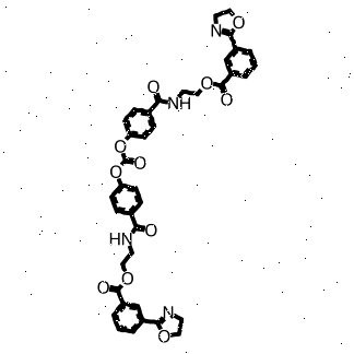 O=C(Oc1ccc(C(=O)NCCOC(=O)c2cccc(C3=NCCO3)c2)cc1)Oc1ccc(C(=O)NCCOC(=O)c2cccc(C3=NCCO3)c2)cc1